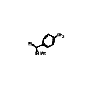 CCC(NC(C)=O)c1ccc(C)cc1